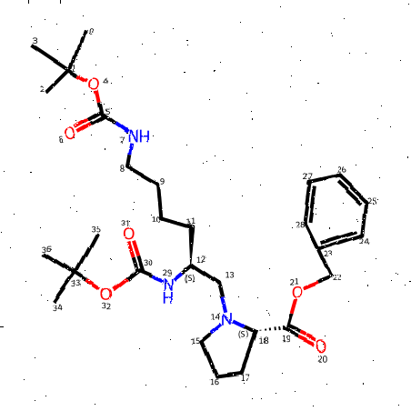 CC(C)(C)OC(=O)NCCCC[C@@H](CN1CCC[C@H]1C(=O)OCc1ccccc1)NC(=O)OC(C)(C)C